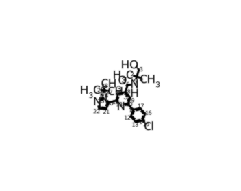 CC(C)(CO)NC(=O)c1cc(-c2ccc(Cl)cc2)nc(-c2ccnn2C(C)(C)C)c1